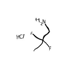 CC(F)(F)CN.Cl